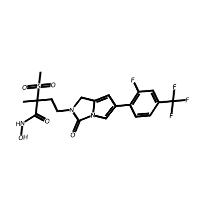 CC(CCN1Cc2cc(-c3ccc(C(F)(F)F)cc3F)cn2C1=O)(C(=O)NO)S(C)(=O)=O